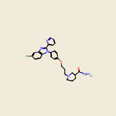 NC(=O)C1CCCN(CCCOc2ccc(-n3c(-c4ccccn4)nc4cc(F)ccc43)cc2)C1